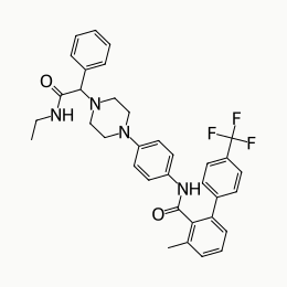 CCNC(=O)C(c1ccccc1)N1CCN(c2ccc(NC(=O)c3c(C)cccc3-c3ccc(C(F)(F)F)cc3)cc2)CC1